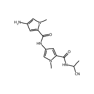 CC(C#N)NC(=O)c1cc(NC(=O)c2cc(N)cn2C)cn1C